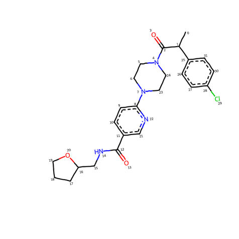 CC(C(=O)N1CCN(c2ccc(C(=O)NCC3CCCO3)cn2)CC1)c1ccc(Cl)cc1